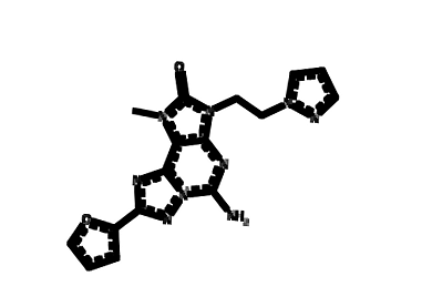 Cn1c(=O)n(CCn2cccn2)c2nc(N)n3nc(-c4ccco4)nc3c21